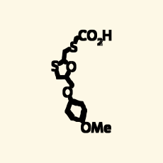 COc1ccc(OCC2CSC(CSCC(=O)O)O2)cc1